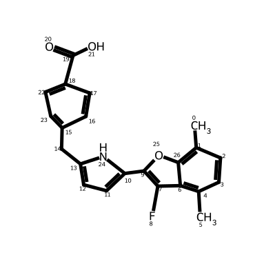 Cc1ccc(C)c2c(F)c(-c3ccc(Cc4ccc(C(=O)O)cc4)[nH]3)oc12